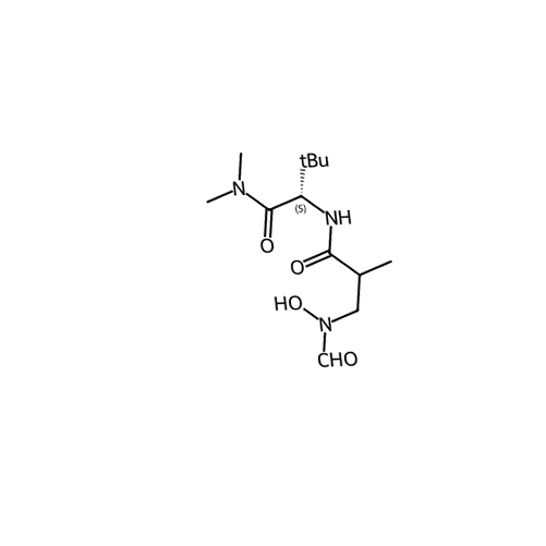 CC(CN(O)C=O)C(=O)N[C@H](C(=O)N(C)C)C(C)(C)C